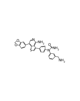 NCc1cccc(N(C(N)=O)c2ccc(-c3csc4c(-c5ccc6c(c5)OCO6)cnc(N)c34)cc2)c1